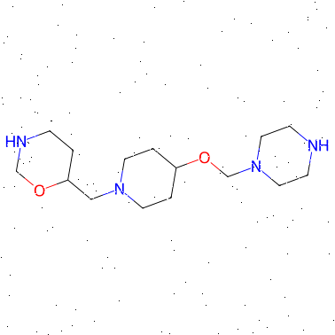 C1CN(COC2CCN(CC3CCNCO3)CC2)CCN1